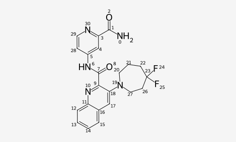 NC(=O)c1cc(NC(=O)c2nc3ccccc3cc2N2CCCC(F)(F)CC2)ccn1